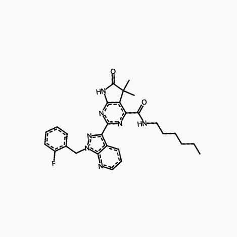 CCCCCCNC(=O)c1nc(-c2nn(Cc3ccccc3F)c3ncccc23)nc2c1C(C)(C)C(=O)N2